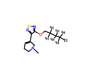 [2H]C([2H])(CC)C([2H])([2H])C([2H])([2H])COc1nsnc1C1=CCCN(C)C1